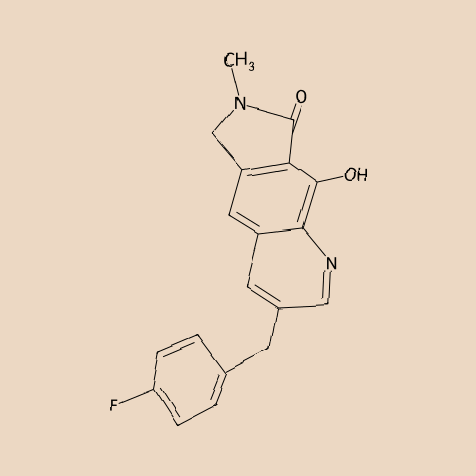 CN1Cc2cc3cc(Cc4ccc(F)cc4)cnc3c(O)c2C1=O